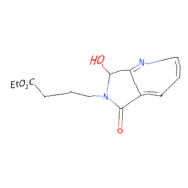 CCOC(=O)CCCN1C(=O)c2cccnc2C1O